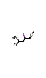 C/B=C\C(I)CC(CC)CCC